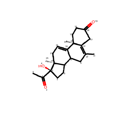 CC(=O)[C@@]1(O)CCC2C3CC(C)=C4CC(=O)CC[C@]4(C)C3=CC[C@@]21C